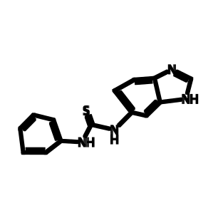 S=C(Nc1ccccc1)Nc1ccc2nc[nH]c2c1